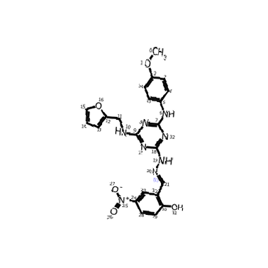 COc1ccc(Nc2nc(NCc3ccco3)nc(N/N=C/c3cc([N+](=O)[O-])ccc3O)n2)cc1